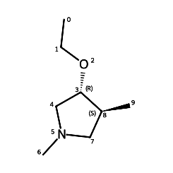 CCO[C@H]1CN(C)C[C@@H]1C